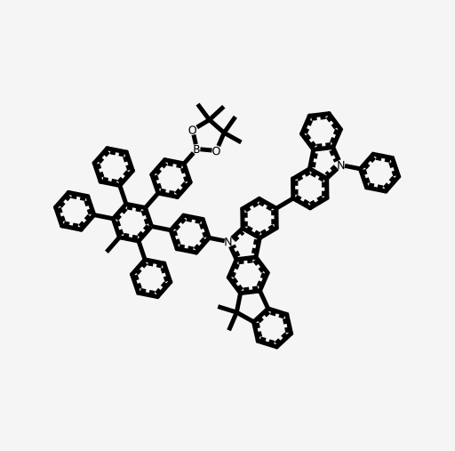 Cc1c(-c2ccccc2)c(-c2ccccc2)c(-c2ccc(B3OC(C)(C)C(C)(C)O3)cc2)c(-c2ccc(-n3c4ccc(-c5ccc6c(c5)c5ccccc5n6-c5ccccc5)cc4c4cc5c(cc43)C(C)(C)c3ccccc3-5)cc2)c1-c1ccccc1